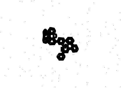 c1ccc(-c2cc(-c3ccccc3-c3ccccc3)nc(-c3cccc(-c4cccc5c4Oc4ccccc4C54c5ccccc5-c5ccccc54)c3)n2)cc1